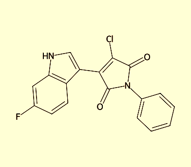 O=C1C(Cl)=C(c2c[nH]c3cc(F)ccc23)C(=O)N1c1ccccc1